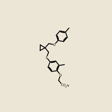 Cc1ccc(OCC2(CSc3ccc(OCC(=O)O)c(C)c3)CC2)cc1